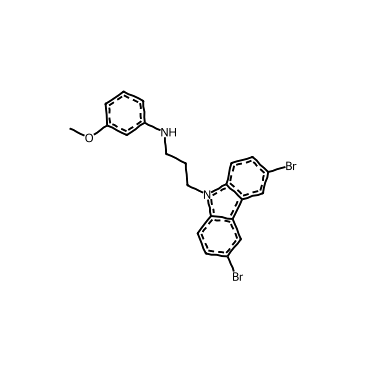 COc1cccc(NCCCn2c3ccc(Br)cc3c3cc(Br)ccc32)c1